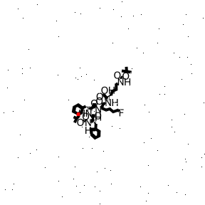 CC(C)(C)OC(=O)NCCCC[C@@H](NC(=O)C(CCCCF)NC(=O)[C@@H](Cc1ccccc1)NC(=O)[C@@H](Cc1ccccc1)NC(=O)OC(C)(C)C)C(=O)O